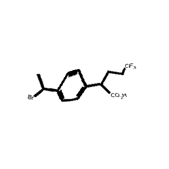 CC(Br)c1ccc(C(CCC(F)(F)F)C(=O)O)cc1